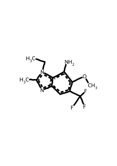 CCn1c(C)nc2cc(C(F)(F)F)c(OC)c(N)c21